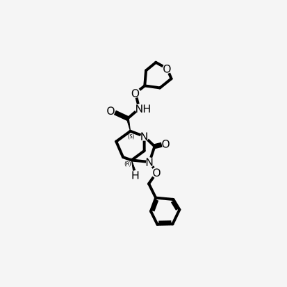 O=C(NOC1CCOCC1)[C@@H]1CC[C@@H]2CN1C(=O)N2OCc1ccccc1